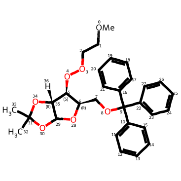 COCCOO[C@H]1[C@@H](COC(c2ccccc2)(c2ccccc2)c2ccccc2)OC2OC(C)(C)O[C@@H]21